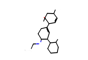 CNCNC1CCC(C2C=CC(C)CC2(C)O)=CC1C1CCCCC1C